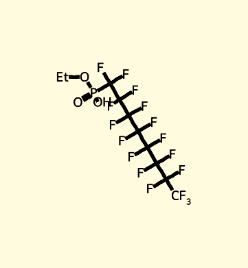 CCOP(=O)(O)C(F)(F)C(F)(F)C(F)(F)C(F)(F)C(F)(F)C(F)(F)C(F)(F)C(F)(F)F